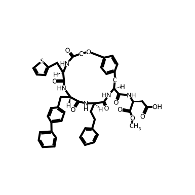 COC(=O)[C@H](CC(=O)O)NC(=O)[C@@H]1Cc2ccc(cc2)OCC(=O)N[C@H](Cc2cccs2)C(=O)N[C@@H](Cc2ccc(-c3ccccc3)cc2)C(=O)N[C@H](CCc2ccccc2)C(=O)N1